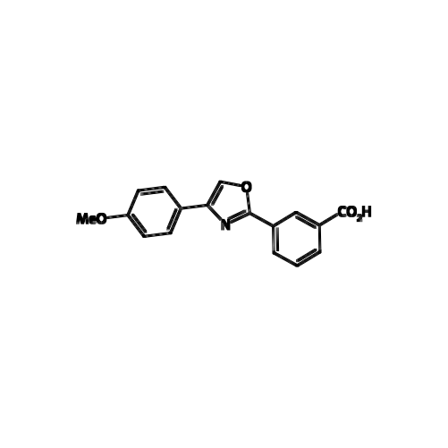 COc1ccc(-c2coc(-c3cccc(C(=O)O)c3)n2)cc1